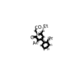 CCOC(=O)Cn1c(C)cc(-c2ccccc2C(C)C)c(C(C)=O)c1=O